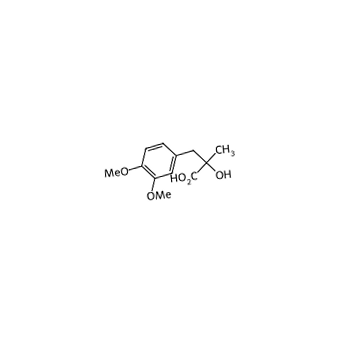 COc1ccc(CC(C)(O)C(=O)O)cc1OC